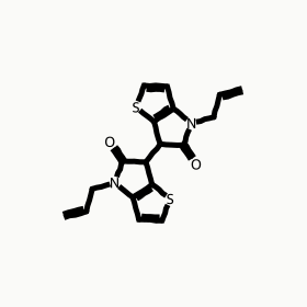 C=CCN1C(=O)C(C2C(=O)N(CC=C)c3ccsc32)c2sccc21